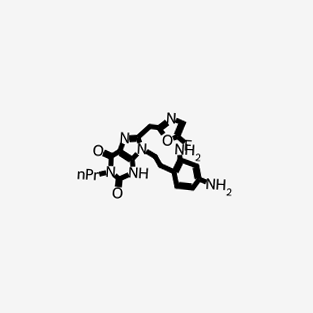 CCCn1c(=O)[nH]c2c(nc(Cc3ncc(F)o3)n2CCc2ccc(N)cc2N)c1=O